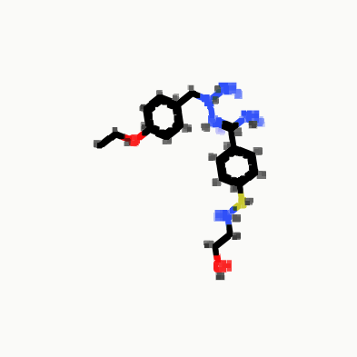 CCOc1ccc(CN(N)/N=C(\N)c2ccc(SNCCO)cc2)cc1